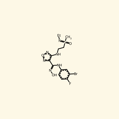 CCN=S(C)(=O)CCNc1nonc1/C(=N/O)Nc1ccc(F)c(Br)c1